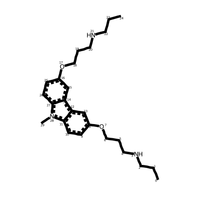 CCCNCCCOc1ccc2c(c1)c1cc(OCCCNCCC)ccc1n2C